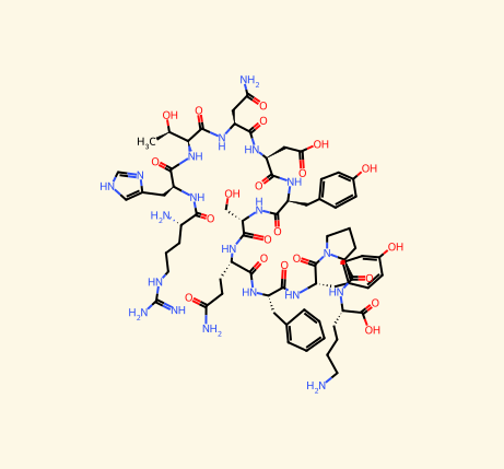 C[C@@H](O)[C@H](NC(=O)[C@H](Cc1c[nH]cn1)NC(=O)[C@@H](N)CCCNC(=N)N)C(=O)N[C@@H](CC(N)=O)C(=O)N[C@@H](CC(=O)O)C(=O)N[C@@H](Cc1ccc(O)cc1)C(=O)N[C@@H](CO)C(=O)N[C@@H](CCC(N)=O)C(=O)N[C@@H](Cc1ccccc1)C(=O)N[C@@H](Cc1ccc(O)cc1)C(=O)N1CCC[C@H]1C(=O)N[C@@H](CCCCN)C(=O)O